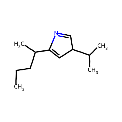 CCCC(C)C1=CC(C(C)C)C=N1